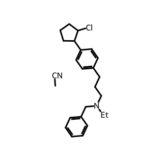 CC#N.CCN(CCCc1ccc(C2CCCC2Cl)cc1)Cc1ccccc1